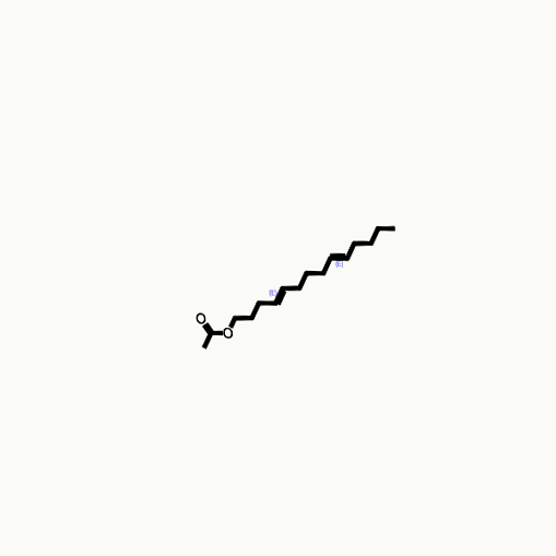 CCCC/C=C/CCC/C=C/CCCOC(C)=O